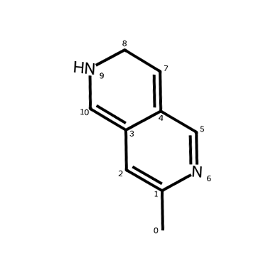 Cc1cc2c(cn1)=CCNC=2